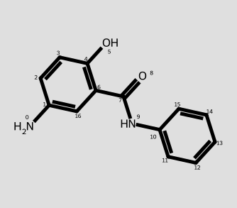 Nc1ccc(O)c(C(=O)Nc2ccccc2)c1